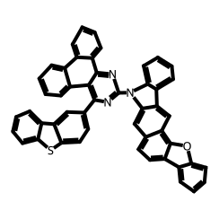 c1ccc2c(c1)oc1c3cc4c5ccccc5n(-c5nc(-c6ccc7sc8ccccc8c7c6)c6c7ccccc7c7ccccc7c6n5)c4cc3ccc21